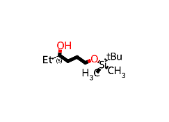 CC[C@H](O)CCCO[Si](C)(C)C(C)(C)C